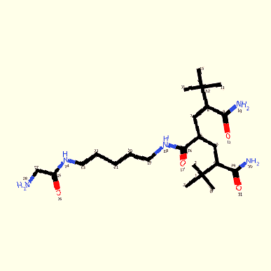 CC(C)(C)C(CC(CC(C(N)=O)C(C)(C)C)C(=O)NCCCCCNC(=O)CN)C(N)=O